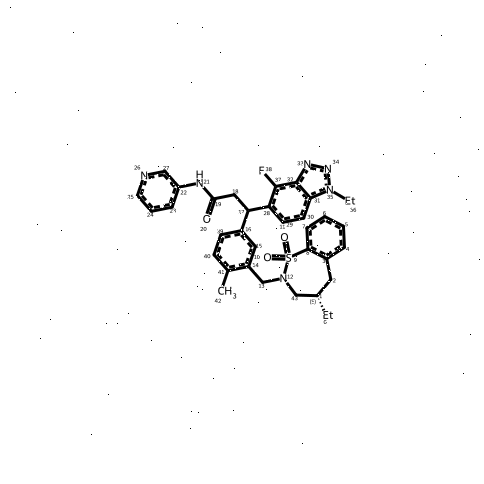 CC[C@H]1Cc2ccccc2S(=O)(=O)N(Cc2cc(C(CC(=O)Nc3cccnc3)c3ccc4c(nnn4CC)c3F)ccc2C)C1